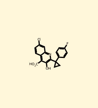 O=C(O)c1c(O)c(C2(c3ccc(F)cc3)CC2)nc2cc(Cl)ccc12